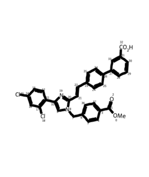 COC(=O)c1ccc(Cn2cc(-c3ccc(Cl)cc3Cl)nc2C=Cc2ccc(-c3cccc(C(=O)O)c3)cc2)cc1